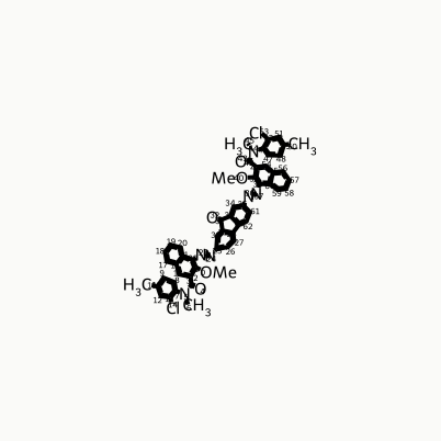 COc1c(C(=O)N(C)c2ccc(C)cc2Cl)cc2ccccc2c1N=Nc1ccc2c(c1)C(=O)c1cc(N=Nc3c(OC)c(C(=O)N(C)c4ccc(C)cc4Cl)cc4ccccc34)ccc1-2